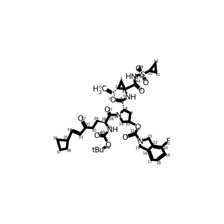 C=C[C@@H]1C[C@]1(NC(=O)[C@@H]1CC(OC(=O)N2Cc3cccc(F)c3C2)CN1C(=O)[C@H](CCC(=O)/C=C/C1CCC1)NC(=O)OC(C)(C)C)C(=O)NS(=O)(=O)C1CC1